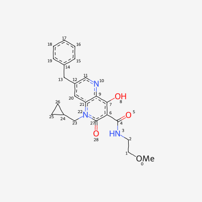 COCCNC(=O)c1c(O)c2ncc(Cc3ccccc3)cc2n(CC2CC2)c1=O